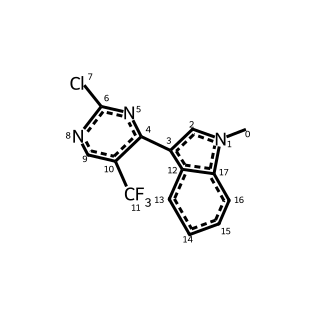 Cn1cc(-c2nc(Cl)ncc2C(F)(F)F)c2ccccc21